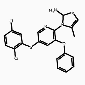 CC1=CSC(N)N1c1ncc(Sc2cc(Cl)ccc2Cl)cc1Oc1ccccc1